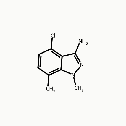 Cc1ccc(Cl)c2c(N)nn(C)c12